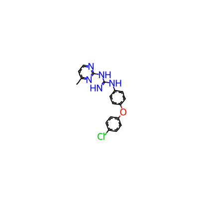 Cc1ccnc(NC(=N)Nc2ccc(Oc3ccc(Cl)cc3)cc2)n1